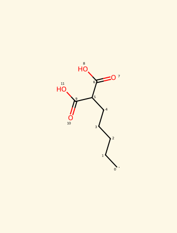 [CH2]CCCCC(C(=O)O)C(=O)O